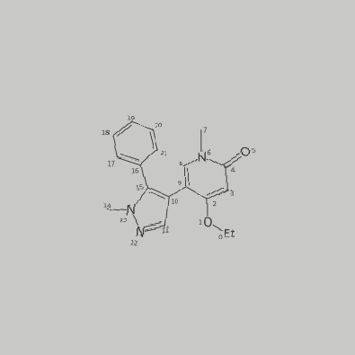 CCOc1cc(=O)n(C)cc1-c1cnn(C)c1-c1ccccc1